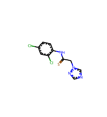 S=C(Cn1cncn1)Nc1ccc(Cl)cc1Cl